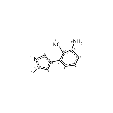 Cn1cc(-c2cccc(N)c2C#N)cn1